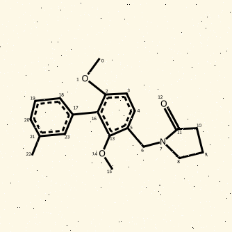 COc1ccc(CN2CCCC2=O)c(OC)c1-c1cccc(C)c1